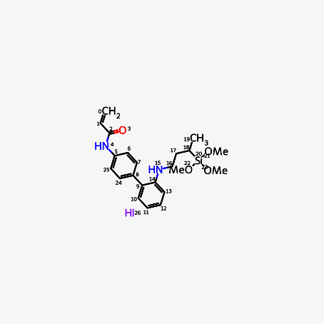 C=CC(=O)Nc1ccc(-c2ccccc2NCCC(C)[Si](OC)(OC)OC)cc1.I